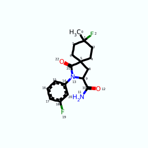 CC1(F)[CH]CC2(CC1)CC(C(N)=O)N(c1cccc(F)c1)C2=O